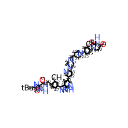 Cc1cc(-c2n[nH]c3ncc(-c4ccc(N5CCN(CC6CCN(c7ccc(N8CCC(=O)NC8=O)c(C)c7)CC6)CC5)nc4)cc23)ccc1CNC(=O)c1noc(C(C)(C)C)n1